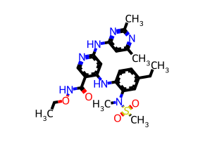 CCONC(=O)c1cnc(Nc2cc(C)nc(C)n2)cc1Nc1ccc(CC)cc1N(C)S(C)(=O)=O